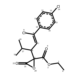 CCOC(=O)C1(C(C=C(Cl)c2ccc(Cl)cc2)C(C)C)OC1=O